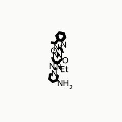 CCn1c(N2CCC[C@@H](N)C2)nc2cnn(Cc3nc4ccccc4c(C)[n+]3[O-])c(=O)c21